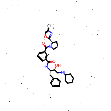 Cc1coc([C@H]2CCCN2C(=O)c2cccc(C(=O)N[C@@H](Cc3ccccc3)[C@@H](O)CNC3CCCCC3)c2)n1